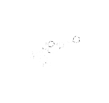 O=C1CC(COc2ccccc2)CN1c1ccnc(N(C(=O)OCC(Cl)(Cl)Cl)C(=O)OCC(Cl)(Cl)Cl)c1